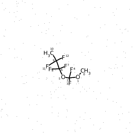 COC(F)(F)OC(F)(F)C(C)(F)F